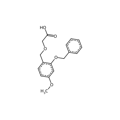 COc1ccc(COCC(=O)O)c(OCc2ccccc2)c1